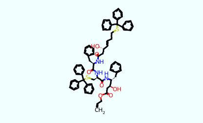 C=CCOC(=O)C[C@H](O)[C@@H](Cc1ccccc1)NC(=O)[C@@H](CSC(c1ccccc1)(c1ccccc1)c1ccccc1)NC(=O)[C@@H](Cc1ccccc1)NC(=O)C[C@H](O)C=CCCSC(c1ccccc1)(c1ccccc1)c1ccccc1